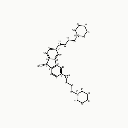 O=C1c2ccc(OCCCN3CCCCC3)cc2-c2cc(OCCCN3CCCCC3)ccc21